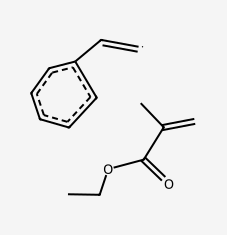 C=C(C)C(=O)OCC.[CH]=Cc1ccccc1